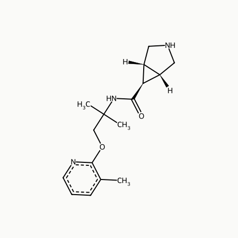 Cc1cccnc1OCC(C)(C)NC(=O)[C@H]1[C@@H]2CNC[C@@H]21